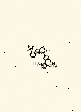 CCc1sc(C(=O)N[C@H](CN)Cc2ccccc2C(F)(F)F)cc1-c1c(C)cnn1C